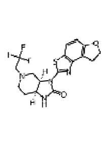 O=C1N[C@H]2CCN(CC(F)(F)F)C[C@H]2N1c1nc2c3c(ccc2s1)OCC3